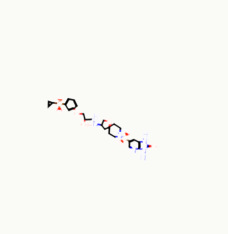 O=c1[nH]c2cc(S(=O)(=O)N3CCC4(CC3)CC(NCC(O)COc3cccc(S(=O)(=O)C5CC5)c3)CO4)cnc2[nH]1